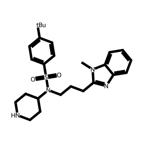 Cn1c(CCCN(C2CCNCC2)S(=O)(=O)c2ccc(C(C)(C)C)cc2)nc2ccccc21